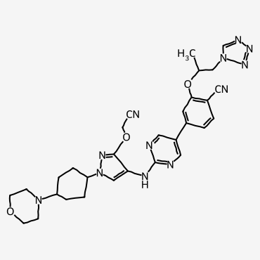 CC(Cn1cnnn1)Oc1cc(-c2cnc(Nc3cn(C4CCC(N5CCOCC5)CC4)nc3OCC#N)nc2)ccc1C#N